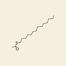 CCCCCCCCCCCCCCSC(C)=O